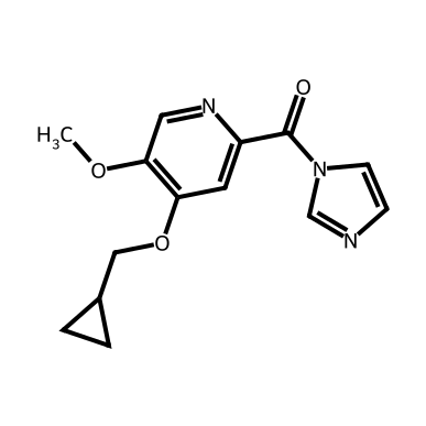 COc1cnc(C(=O)n2ccnc2)cc1OCC1CC1